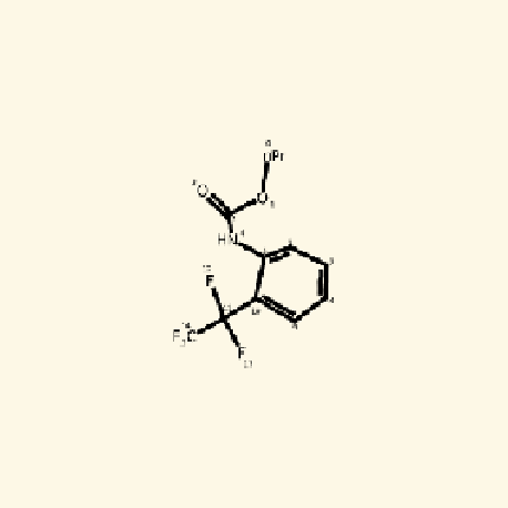 [CH2]CCOC(=O)Nc1ccccc1C(F)(F)C(F)(F)F